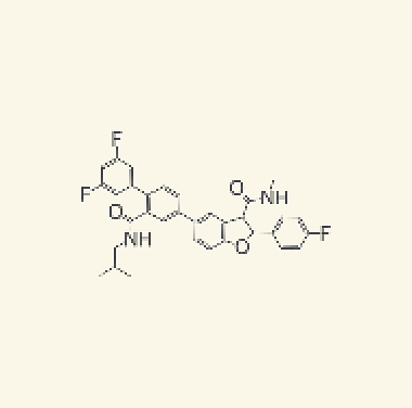 CNC(=O)C1c2cc(-c3ccc(-c4cc(F)cc(F)c4)c(C(=O)NCC(C)C)c3)ccc2OC1c1ccc(F)cc1